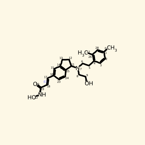 Cc1ccc(CCN(CCO)C2CCc3cc(/C=C/C(=O)NO)ccc32)c(C)c1